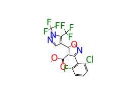 COC(=O)c1c(-c2c(F)cccc2Cl)noc1-c1cnn(C(F)(F)F)c1C(F)(F)F